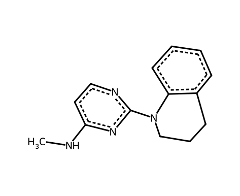 CNc1ccnc(N2CCCc3ccccc32)n1